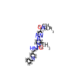 CCN(C)C(=O)c1cnc(N2CCN(C(=O)NCCC3CCN(Cc4ccccc4)CC3)[C@H](C)C2)nc1